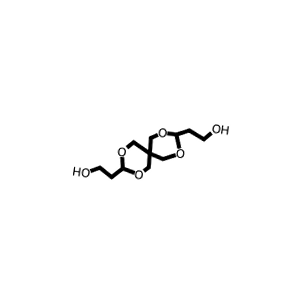 OCCC1OCC2(CO1)COC(CCO)OC2